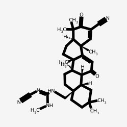 CN/C(=N\C#N)NC[C@]12CCC(C)(C)C[C@H]1[C@H]1C(=O)C=C3[C@@]4(C)C=C(C#N)C(=O)C(C)(C)[C@@H]4CC[C@@]3(C)[C@]1(C)CC2